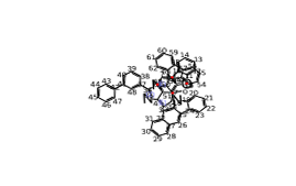 CC1C/C=C(c2ccc3c(oc4ccccc43)c2-n2c3ccccc3c3cc4ccccc4cc32)/N=C(c2cccc(-c3ccccc3)c2)\N=C/1n1c2ccccc2c2ccccc21